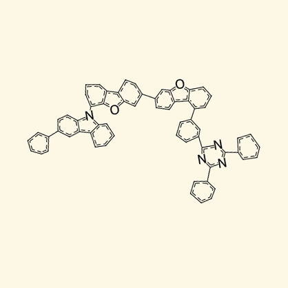 c1ccc(-c2ccc3c(c2)c2ccccc2n3-c2cccc3c2oc2cc(-c4ccc5c(c4)oc4cccc(-c6cccc(-c7nc(-c8ccccc8)nc(-c8ccccc8)n7)c6)c45)ccc23)cc1